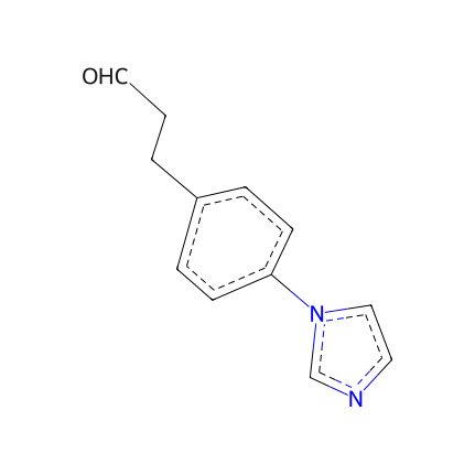 O=CCCc1ccc(-n2ccnc2)cc1